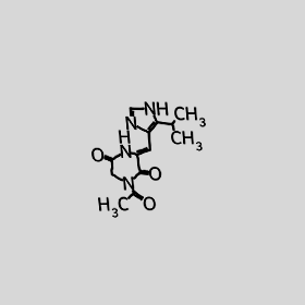 CC(=O)N1CC(=O)N/C(=C\c2nc[nH]c2C(C)C)C1=O